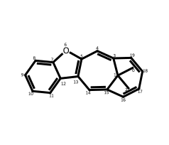 CC1(C)C2=Cc3oc4ccccc4c3C=C1C=CC=C2